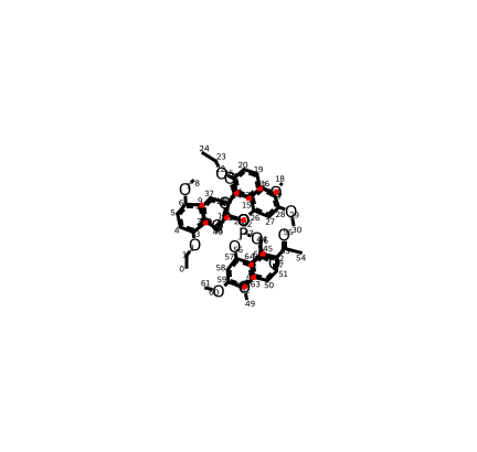 CCOc1ccc(OC)cc1OP(Oc1cc(OC)ccc1OCC)Oc1cc(OC)ccc1C(=O)c1ccccc1OP(Oc1cc(OC)ccc1C(C)=O)Oc1cc(OC)ccc1C(C)=O